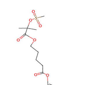 C=COC(=O)CCCCOC(=O)C(C)(C)OS(C)(=O)=O